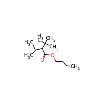 CCCCOC(=O)C(C(C)C)C(C)(C)C